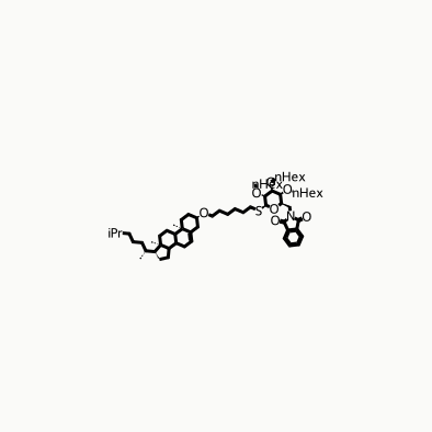 CCCCCCO[C@H]1[C@@H](OCCCCCC)[C@@H](CN2C(=O)c3ccccc3C2=O)O[C@@H](SCCCCCCO[C@H]2CC[C@@]3(C)C(=CCC4C3CC[C@@]3(C)C4CC[C@@H]3[C@H](C)CCCC(C)C)C2)[C@@H]1OCCCCCC